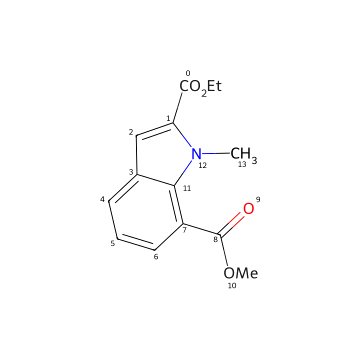 CCOC(=O)c1cc2cccc(C(=O)OC)c2n1C